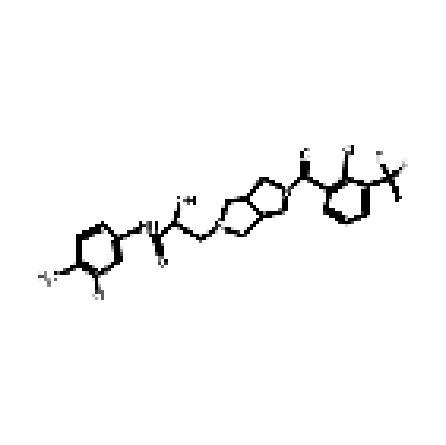 Cc1ccc(NC(=O)C(O)CN2CC3CN(C(=O)c4cccc(C(F)(F)F)c4Cl)CC3C2)cc1Cl